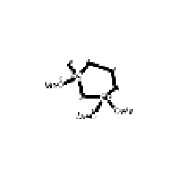 CO[Si]1(C)CCC[Si](OC)(OC)C1